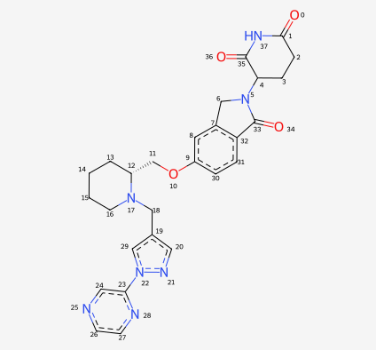 O=C1CCC(N2Cc3cc(OC[C@H]4CCCCN4Cc4cnn(-c5cnccn5)c4)ccc3C2=O)C(=O)N1